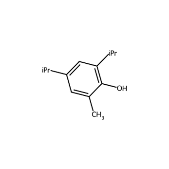 Cc1cc(C(C)C)cc(C(C)C)c1O